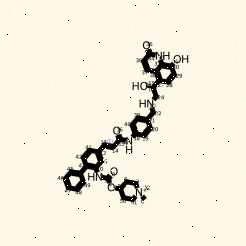 C[N+]1(C)CCC(OC(=O)Nc2cc(/C=C/C(=O)Nc3ccc(CNC[C@@H](O)c4ccc(O)c5[nH]c(=O)ccc45)cc3)ccc2-c2ccccc2)CC1